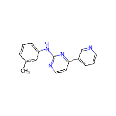 Cc1cccc(Nc2nccc(-c3cccnc3)n2)c1